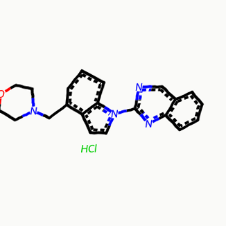 Cl.c1ccc2nc(-n3ccc4c(CN5CCOCC5)cccc43)ncc2c1